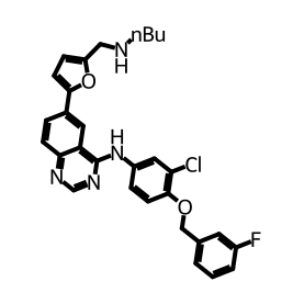 CCCCNCc1ccc(-c2ccc3ncnc(Nc4ccc(OCc5cccc(F)c5)c(Cl)c4)c3c2)o1